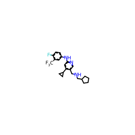 Fc1ccc(Nc2cc(C3CC3)c(CNCC3CCCC3)cn2)cc1C(F)(F)F